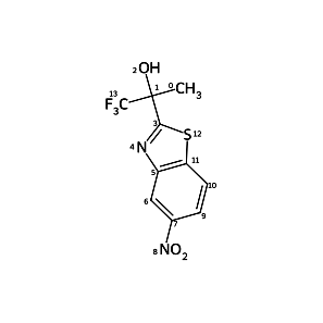 CC(O)(c1nc2cc([N+](=O)[O-])ccc2s1)C(F)(F)F